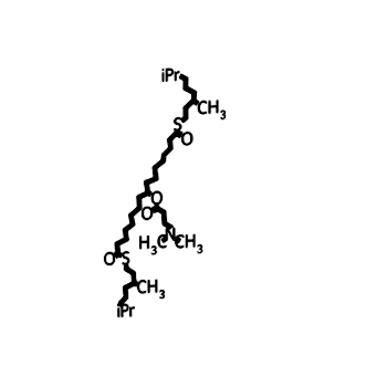 CC(C)CCCC(C)CCSC(=O)CCCCCCCC(CCCCCCCC(=O)SCCC(C)CCCC(C)C)OC(=O)CCCN(C)C